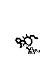 C=C/C=C\C1=C(C)C(C)/C(c2ccccc2C=C)=C(/CC)N(CC(CCCC)OCCCC)C/C=C\1